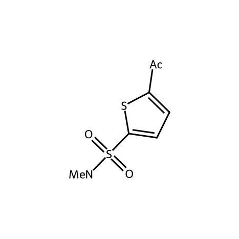 CNS(=O)(=O)c1ccc(C(C)=O)s1